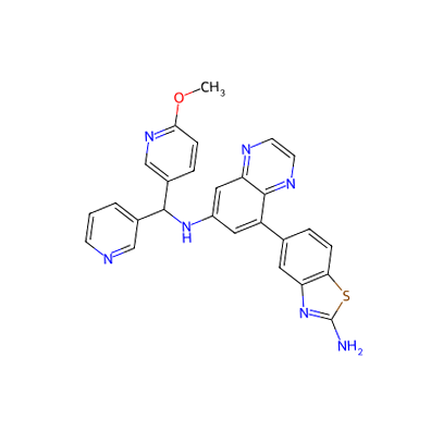 COc1ccc(C(Nc2cc(-c3ccc4sc(N)nc4c3)c3nccnc3c2)c2cccnc2)cn1